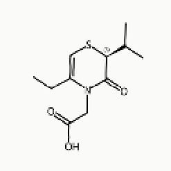 CCC1=CS[C@@H](C(C)C)C(=O)N1CC(=O)O